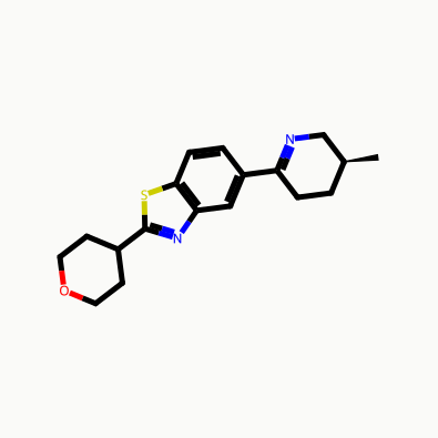 C[C@H]1CCC(c2ccc3sc(C4CCOCC4)nc3c2)=NC1